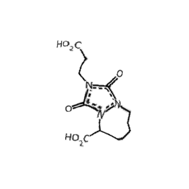 O=C(O)CCn1c(=O)n2n(c1=O)C(C(=O)O)CCC2